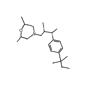 CCC(C)(C)c1ccc(C(C)C(C)CN2CC(C)OC(C)C2)cc1